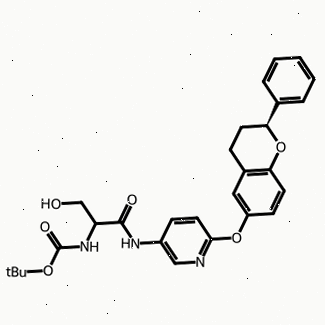 CC(C)(C)OC(=O)NC(CO)C(=O)Nc1ccc(Oc2ccc3c(c2)CC[C@@H](c2ccccc2)O3)nc1